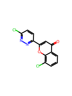 O=c1cc(-c2ccc(Cl)nn2)oc2c(Cl)cccc12